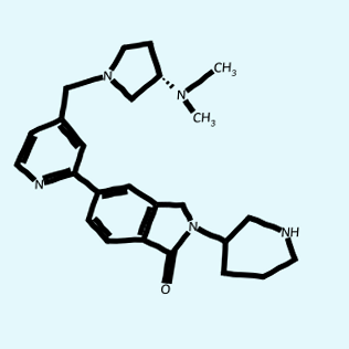 CN(C)[C@H]1CCN(Cc2ccnc(-c3ccc4c(c3)CN(C3CCCNC3)C4=O)c2)C1